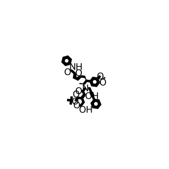 C[C@@H]([C@@H](Cc1ccc(C(=O)Nc2ccccc2)o1)c1ccc2c(c1)OCO2)N(CC#Cc1ccccc1)C(=O)C(O)=C(CC(=O)O)C(=O)OC(C)(C)C